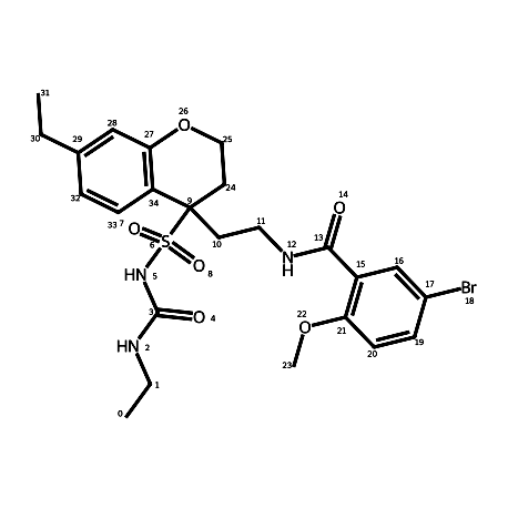 CCNC(=O)NS(=O)(=O)C1(CCNC(=O)c2cc(Br)ccc2OC)CCOc2cc(CC)ccc21